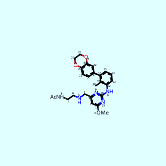 COc1cc(CNCCNC(C)=O)nc(Nc2cccc(-c3ccc4c(c3)OCCO4)c2C)n1